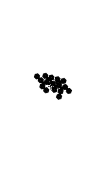 Fc1cccc(F)c1N1c2cc3c(cc2B2c4ccccc4N(c4ccccc4)c4cc(N(c5ccc(-c6ccccc6)cc5)c5cccc(-c6ccccc6)c5)cc1c42)B1c2ccccc2N(c2ccccc2)c2cc(N(c4ccc(-c5ccccc5)cc4)c4cccc(-c5ccccc5)c4)cc(c21)S3